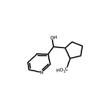 O=C(O)C1CCCC1C(O)c1cccnc1